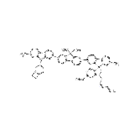 C=C/C=C\CCCC1(c2ccc(CCCCCC)cc2)c2cc(C)ccc2-c2ccc(-c3ccc4c(c3)C(CCCCCCCC)(CCCCCCCC)c3cc(-c5ccc6c7ccc(C)cc7n(-c7ccc8c(c7)CC8)c6c5)ccc3-4)cc21